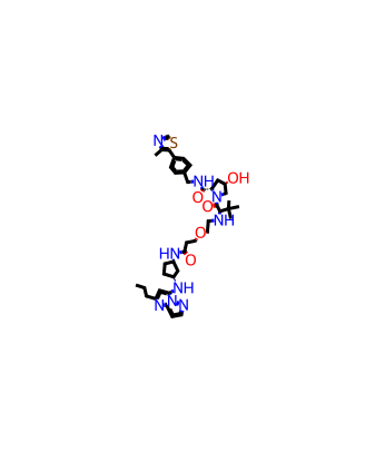 CCCc1cc(N[C@@H]2CC[C@@H](NC(=O)CCOCCNC(C(=O)N3C[C@H](O)C[C@H]3C(=O)NCc3ccc(-c4scnc4C)cc3)C(C)(C)C)C2)n2nccc2n1